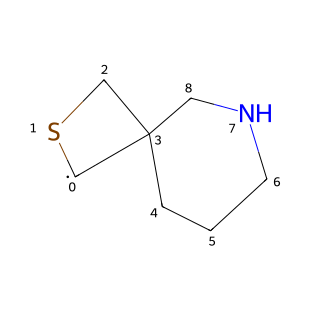 [CH]1SCC12CCCNC2